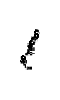 O=S(=O)(CCCO)c1cccc(OCC(O)CNC2COC3(CCN(S(=O)(=O)c4ccc5ncccc5c4)CC3)C2)c1